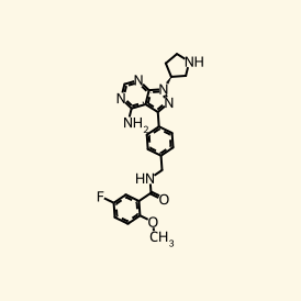 COc1ccc(F)cc1C(=O)NCc1ccc(-c2nn([C@H]3CCNC3)c3ncnc(N)c23)cc1